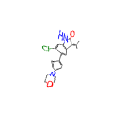 CC(C)=C1C(=O)Nc2cc(Cl)c(-c3ccc(N4CCOCC4)cc3)cc21